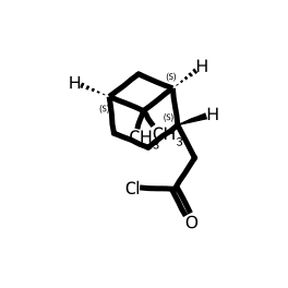 CC1(C)[C@H]2CC[C@@H](CC(=O)Cl)[C@@H]1C2